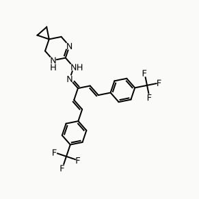 FC(F)(F)c1ccc(/C=C/C(/C=C/c2ccc(C(F)(F)F)cc2)=NNC2=NCC3(CC3)CN2)cc1